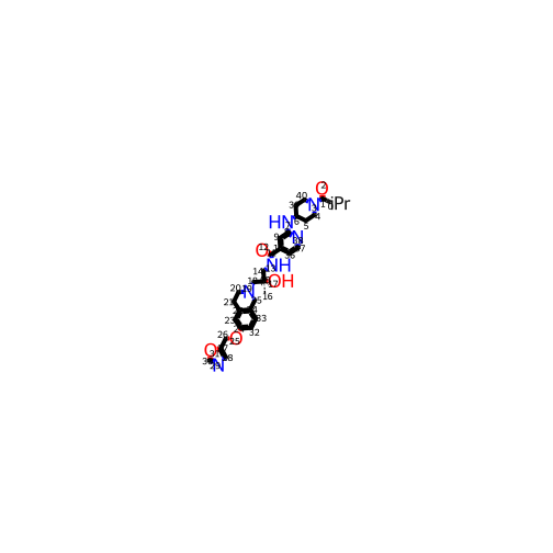 CC(C)C(=O)N1CCC(Nc2cc(C(=O)NC[C@@](C)(O)CN3CCc4cc(OCc5cnco5)ccc4C3)ccn2)CC1